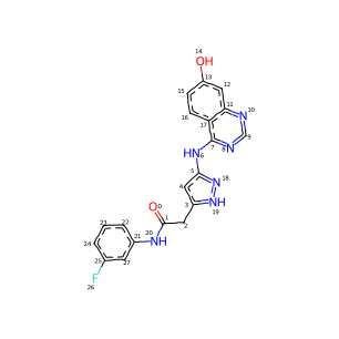 O=C(Cc1cc(Nc2ncnc3cc(O)ccc23)n[nH]1)Nc1cccc(F)c1